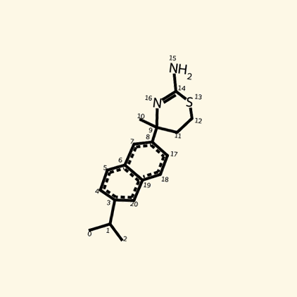 CC(C)c1ccc2cc(C3(C)CCSC(N)=N3)ccc2c1